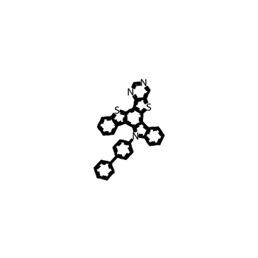 c1ccc(-c2ccc(-n3c4ccccc4c4c5sc6cncnc6c5c5sc6ccccc6c5c43)cc2)cc1